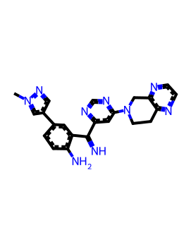 Cn1cc(-c2ccc(N)c(C(=N)c3cc(N4CCc5nccnc5C4)ncn3)c2)cn1